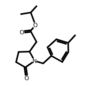 Cc1ccc(CN2C(=O)CCC2CC(=O)OC(C)C)cc1